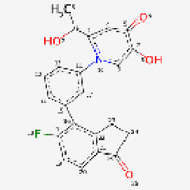 CC(O)c1cc(=O)c(O)cn1-c1cccc(-c2c(F)ccc3c2CCC3=O)c1